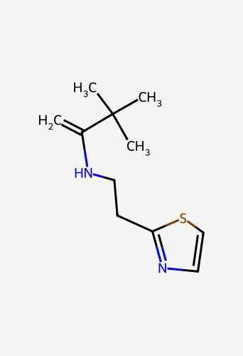 C=C(NCCc1nccs1)C(C)(C)C